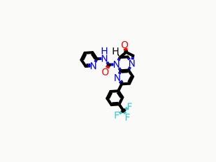 O=C1CN2C[C@H]1N(C(=O)Nc1ccccn1)c1nc(-c3cccc(C(F)(F)F)c3)ccc12